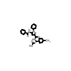 Cc1ccc([C@H](CC(=O)O)NC(=O)c2cc(NC(=O)c3ccccc3)n(-c3ccccc3)n2)cc1